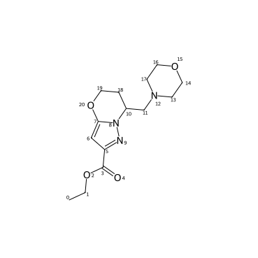 CCOC(=O)c1cc2n(n1)C(CN1CCOCC1)CCO2